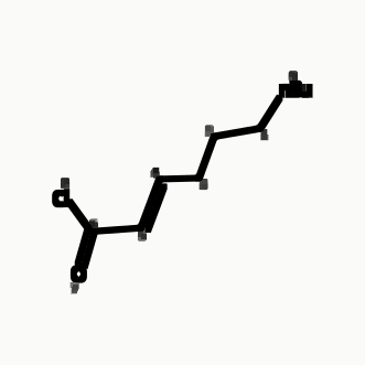 CCCCCCCC=CC(=O)Cl